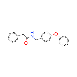 O=C(Cc1ccccc1)NCc1ccc(Oc2ccccc2)cc1